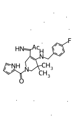 CC(=O)C(=N)C1=C(NCc2ccc(F)cc2)C(C)(C)CN(C(=O)c2ccc[nH]2)C1